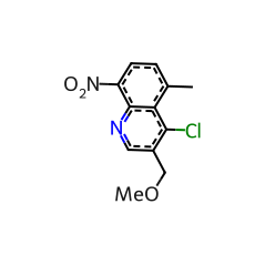 COCc1cnc2c([N+](=O)[O-])ccc(C)c2c1Cl